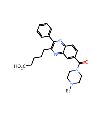 CCN1CCN(C(=O)c2ccc3nc(-c4ccccc4)c(CCCCC(=O)O)nc3c2)CC1